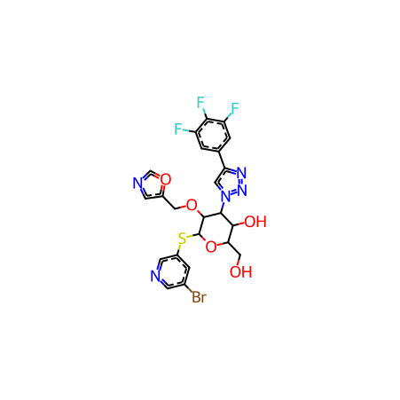 OCC1OC(Sc2cncc(Br)c2)C(OCc2cnco2)C(n2cc(-c3cc(F)c(F)c(F)c3)nn2)C1O